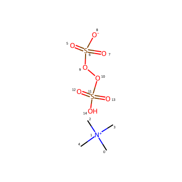 C[N+](C)(C)C.O=S(=O)([O-])OOS(=O)(=O)O